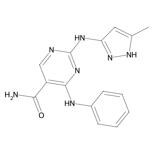 Cc1cc(Nc2ncc(C(N)=O)c(Nc3ccccc3)n2)n[nH]1